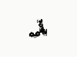 C=CC(=O)N1CCC(Cn2nc(-c3ccc(Oc4ccccc4)cc3)c3cncnc32)C1